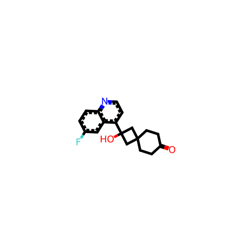 O=C1CCC2(CC1)CC(O)(c1ccnc3ccc(F)cc13)C2